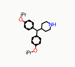 CC(C)Oc1ccc(C(c2ccc(OC(C)C)cc2)C2CCNCC2)cc1